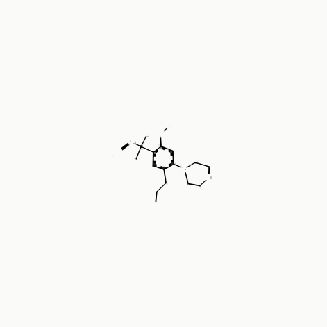 CCCc1cc(C(C)(C)N=O)c(ON)cc1N1CCNCC1